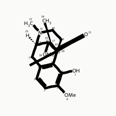 COc1ccc2c(c1O)[C@]13CCN(C)[C@H](C2)C1(OC)[C@H](C)CC(=O)C3